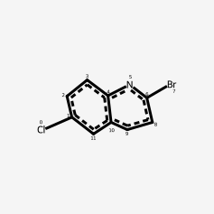 Clc1ccc2nc(Br)ccc2c1